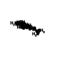 COc1ccc(C=CC(=O)SCCNC(=O)CCNC(=O)[C@H](O)C(C)(C)COP(=O)(O)OP(=O)(O)OC[C@H]2O[C@@H](n3cnc4c(N)ncnc43)[C@H](O)[C@@H]2OP(=O)(O)O)cc1OC